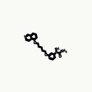 NC(=O)N(S)c1cccc(OCCCCCOc2cccc3cnccc23)c1